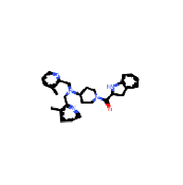 Cc1cccnc1CN(Cc1ncccc1C)C1CCN(C(=O)C2Cc3ccccc3N2)CC1